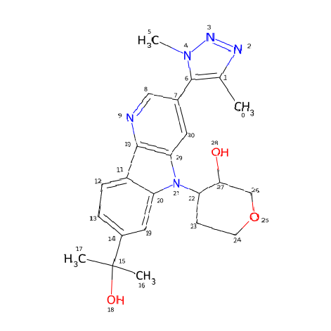 Cc1nnn(C)c1-c1cnc2c3ccc(C(C)(C)O)cc3n(C3CCOCC3O)c2c1